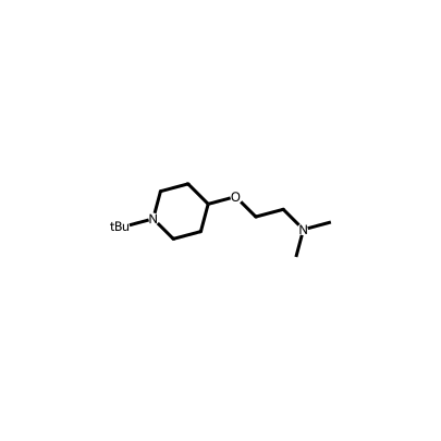 CN(C)CCOC1CCN(C(C)(C)C)CC1